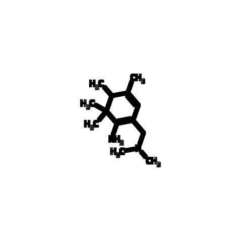 CC1=CC(CN(C)C)=C(N)C(C)(C)C1C